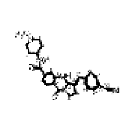 CN1CCC(NC(=O)c2ccc3c(c2)NC2C(=Cc4ccc(C#N)cc4)CCN2C3=O)CC1